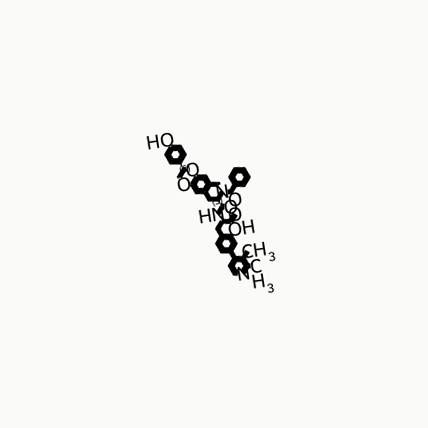 Cc1nccc(-c2ccc(CC(NC(=O)[C@@H]3Cc4cc5c(cc4CN3C(=O)c3ccccc3)O[C@@H](c3ccc(O)cc3)CO5)C(=O)O)cc2)c1C